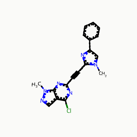 Cn1cc(-c2ccccc2)nc1C#Cc1nc(Cl)c2cnn(C)c2n1